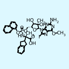 COc1nc(N)nc2c1nc(I)n2[C@@H]1O[C@H](COP(=O)(N[C@](C)(C(=O)O)C2Cc3ccccc3C2)Oc2cccc3ccccc23)[C@@H](O)[C@@]1(C)O